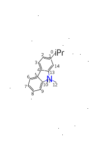 CC(C)c1ccc2c3ccccc3n(C)c2c1